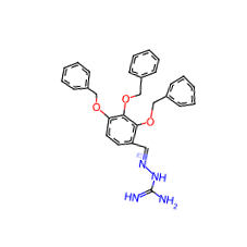 N=C(N)N/N=C/c1ccc(OCc2ccccc2)c(OCc2ccccc2)c1OCc1ccccc1